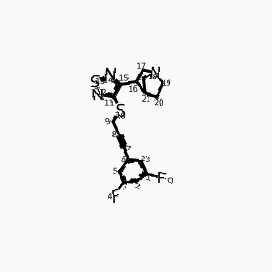 Fc1cc(F)cc(C#CCSc2nsnc2C2CN3CCC2C3)c1